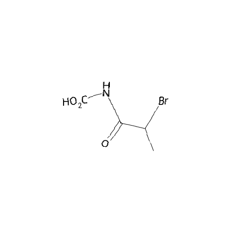 CC(Br)C(=O)NC(=O)O